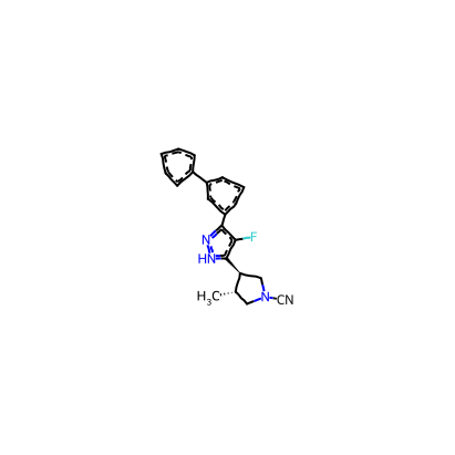 C[C@H]1CN(C#N)C[C@@H]1c1[nH]nc(-c2cccc(-c3ccccc3)c2)c1F